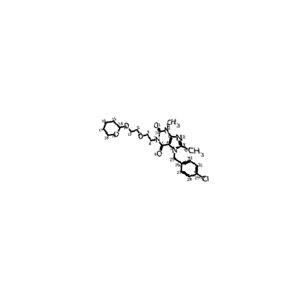 Cc1nc2c(c(=O)n(CCOCCOC3CCCCO3)c(=O)n2C)n1Cc1ccc(Cl)cc1